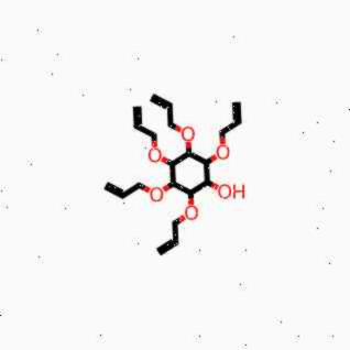 C=CCOC1C(O)C(OCC=C)C(OCC=C)C(OCC=C)C1OCC=C